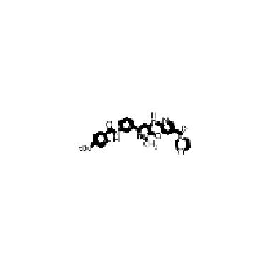 Cn1nc(-c2cccc(NC(=O)c3ccc(C(C)(C)C)cc3)c2)cc(Nc2ccc(C(=O)N3CCOCC3)cn2)c1=O